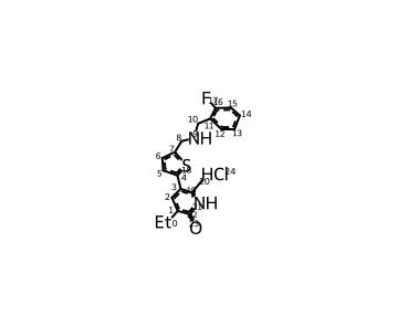 CCc1cc(-c2ccc(CNCc3ccccc3F)s2)c(C)[nH]c1=O.Cl